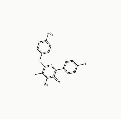 Cc1c(Sc2ccc([N+](=O)[O-])cc2)nn(-c2ccc(Cl)cc2)c(=O)c1C#N